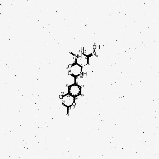 CNC(=O)[C@H](C/C(N)=N/O)NC(=O)c1ccc(OC(C)C)c(Cl)c1